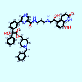 O=C(NCCCNC[C@H](O)c1ccc(O)c2[nH]c(=O)ccc12)c1cncc(-c2cccc([C@](O)(C(=O)OCC3CCN(Cc4ccccc4)CC3)c3ccccc3)c2)n1